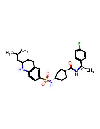 CC(C)CC1CCc2cc(S(=O)(=O)N[C@H]3CC[C@H](C(=O)N[C@H](C)c4ccc(F)cc4)CC3)ccc2N1